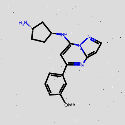 COc1cccc(-c2cc(N[C@H]3CC[C@H](N)C3)n3nccc3n2)c1